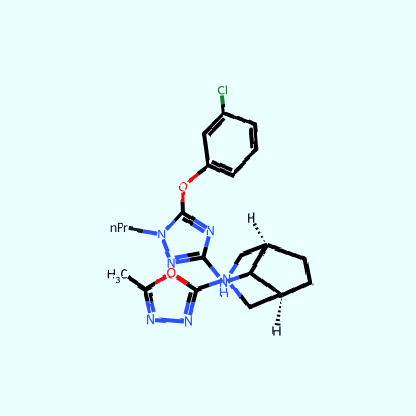 CCCn1nc(NC2[C@@H]3CC[C@H]2CN(c2nnc(C)o2)C3)nc1Oc1cccc(Cl)c1